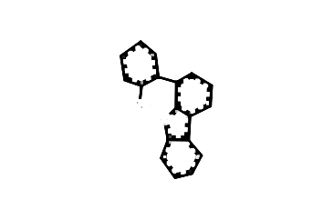 Nc1ccccc1-c1cccc2c1oc1ccccc12